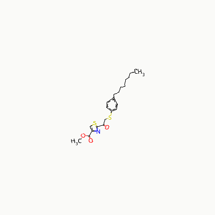 CCCCCCCCc1ccc(SCC(=O)c2nc(C(=O)OC)cs2)cc1